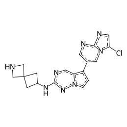 Clc1cnc2ncc(-c3ccn4nc(NC5CC6(CNC6)C5)ncc34)cn12